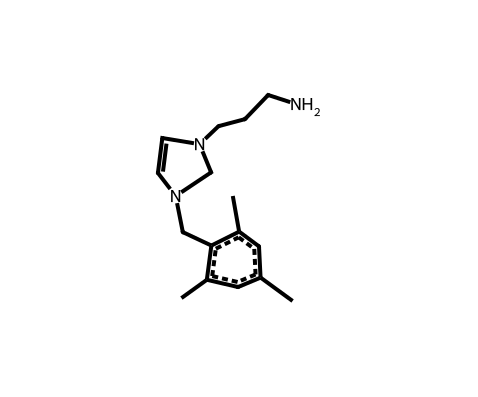 Cc1cc(C)c(CN2C=CN(CCCN)C2)c(C)c1